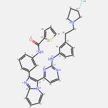 O=C(Nc1cccc(-c2nc3ccccn3c2-c2ccnc(Nc3cccc(CCN4CC[C@H](F)C4)c3)n2)c1)c1cccs1